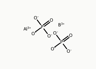 O=P([O-])([O-])[O-].O=P([O-])([O-])[O-].[Al+3].[B+3]